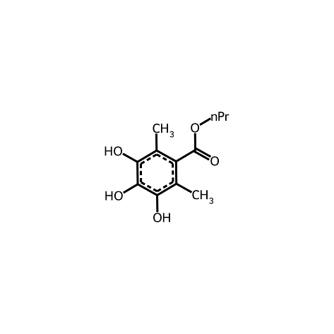 CCCOC(=O)c1c(C)c(O)c(O)c(O)c1C